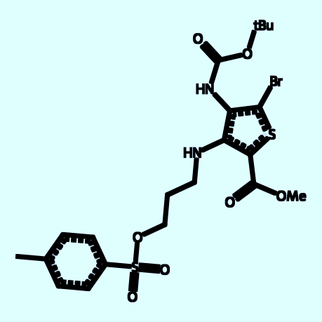 COC(=O)c1sc(Br)c(NC(=O)OC(C)(C)C)c1NCCCOS(=O)(=O)c1ccc(C)cc1